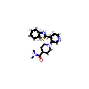 CN(C)C(=O)C1CCN(c2cnccc2-c2nc3ccccc3s2)CC1